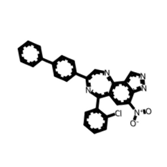 O=[N+]([O-])c1cc2c(-c3ccccc3Cl)nc(-c3ccc(-c4ccccc4)cc3)cnc2c2cnnc12